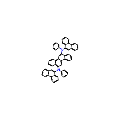 c1ccc(N(c2cc3ccccc3c3ccccc23)c2cc3c4ccccc4c(N(c4ccccc4)c4cc5ccccc5c5ccccc45)cc3c3ccccc23)cc1